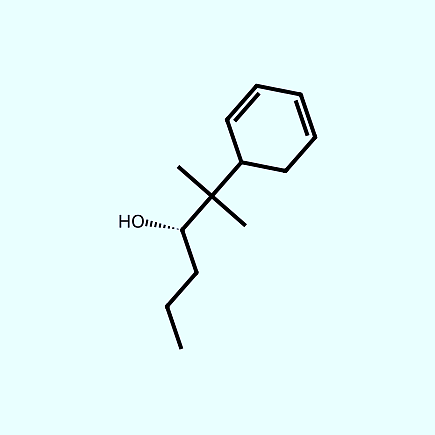 CCC[C@H](O)C(C)(C)C1C=CC=CC1